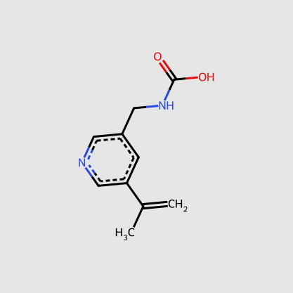 C=C(C)c1cncc(CNC(=O)O)c1